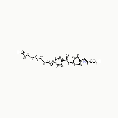 O=C(O)/C=C/c1ccc(CC(=O)c2ccc(OCCCCCCCCO)cc2)cc1